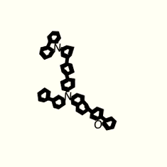 c1ccc(-c2cccc(N(c3ccc(-c4ccc(-c5cccc(-n6c7ccccc7c7ccccc76)c5)cc4)cc3)c3ccc4cc(-c5ccc6c(c5)oc5ccccc56)ccc4c3)c2)cc1